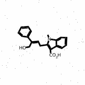 Cn1c(C/C=C(\CO)c2ccccc2)c(C(=O)O)c2ccccc21